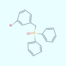 O=P(Cc1cccc(Br)c1)(c1ccccc1)c1ccccc1